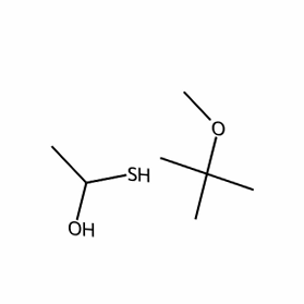 CC(O)S.COC(C)(C)C